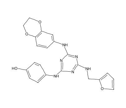 Oc1ccc(Nc2nc(NCc3ccco3)nc(Nc3ccc4c(c3)OCCO4)n2)cc1